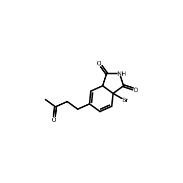 CC(=O)CCC1=CC2C(=O)NC(=O)C2(Br)C=C1